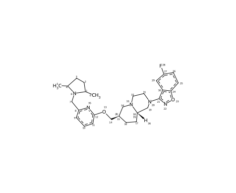 CC1CCC(C)N1Cc1cccc(OC[C@@H]2CC[C@H]3CN(c4noc5ccc(F)cc45)CCN3C2)n1